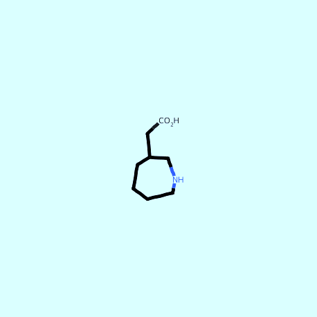 O=C(O)CC1CCCCNC1